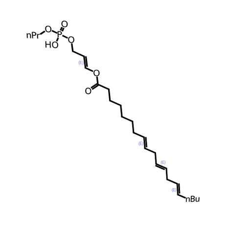 CCCC/C=C/C/C=C/C/C=C/CCCCCCC(=O)O/C=C/COP(=O)(O)OCCC